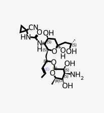 C/C=C/[C@@H](C[C@@H]1O[C@](O)(C[C@H](C)O)C[C@H](O)[C@H]1NC(=O)NC1(C#N)CC1)O[C@@H]1O[C@H](C)[C@@H](O)[C@H](N)[C@@H]1O